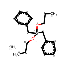 CCCO[Si](Cc1ccccc1)(Cc1ccccc1)OCCC.[SiH4]